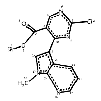 CC(C)OC(=O)c1cnc(Cl)nc1-c1cn(C)c2ncccc12